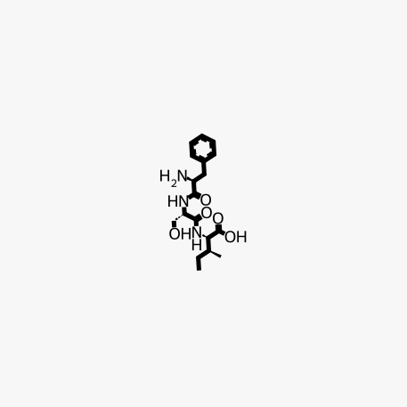 CC[C@H](C)[C@H](NC(=O)[C@H](CO)NC(=O)[C@@H](N)Cc1ccccc1)C(=O)O